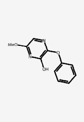 COc1cnc(Oc2ccccc2)c(O)n1